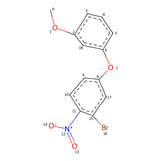 COc1cccc(Oc2ccc([N+](=O)[O-])c(Br)c2)c1